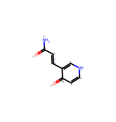 NC(=O)/C=C/c1c[nH]ccc1=O